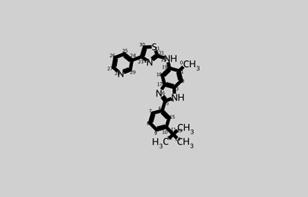 Cc1cc2[nH]c(-c3cccc(C(C)(C)C)c3)nc2cc1Nc1nc(-c2cccnc2)cs1